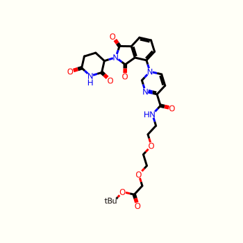 CC(C)(C)OC(=O)COCCOCCNC(=O)C1=NCN(c2cccc3c2C(=O)N(C2CCC(=O)NC2=O)C3=O)C=C1